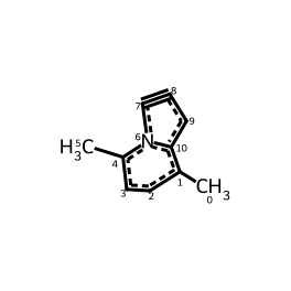 Cc1ccc(C)n2c#ccc12